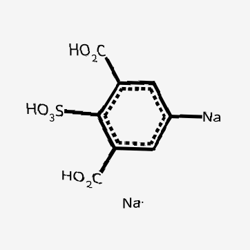 O=C(O)c1c[c]([Na])cc(C(=O)O)c1S(=O)(=O)O.[Na]